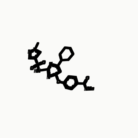 CNC(=O)c1ccc(Oc2cc(C3CCCCC3)nc(NS(=O)(=O)c3cnn(C)c3)n2)cc1